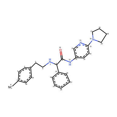 N#Cc1ccc(CCNC(C(=O)Nc2ccc(N3CCCC3)nc2)c2ccccc2)cc1